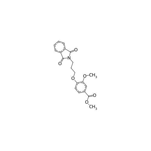 COC(=O)c1ccc(OCCCN2C(=O)c3ccccc3C2=O)c(OC)c1